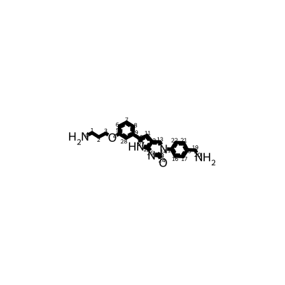 NCCCOc1cccc(-c2cc3cn(-c4ccc(CN)cc4)c(=O)nc3[nH]2)c1